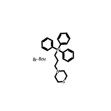 Br.[Br-].c1ccc([P+](CCCN2CCSCC2)(c2ccccc2)c2ccccc2)cc1